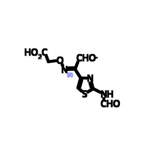 O=[C]/C(=N\OCC(=O)O)c1csc(NC=O)n1